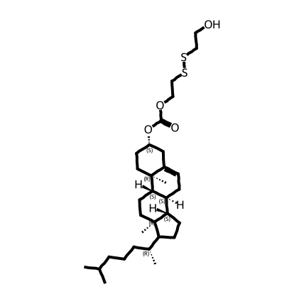 CC(C)CCC[C@@H](C)C1CC[C@H]2[C@@H]3CC=C4C[C@@H](OC(=O)OCCSSCCO)CC[C@]4(C)[C@H]3CC[C@]12C